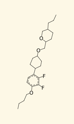 CCCCOc1ccc(C2CCC(OCC3CCC(CCC)CO3)CC2)c(F)c1F